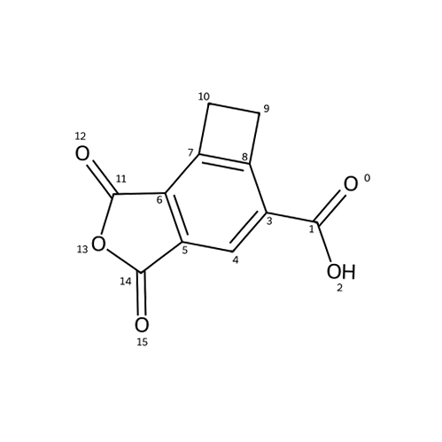 O=C(O)c1cc2c(c3c1CC3)C(=O)OC2=O